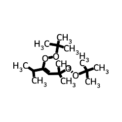 CC(C)C(=CC(C)(C)OOC(C)(C)C)OOC(C)(C)C